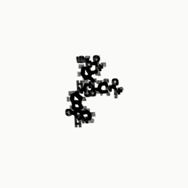 CN(C)C(=O)N1CCC(C(=O)N(CC(=O)Nc2ccc3c(c2)CC2(C3)C(=O)Nc3ncccc32)Cc2ccccc2CN(C)C(=O)OC(C)(C)C)CC1